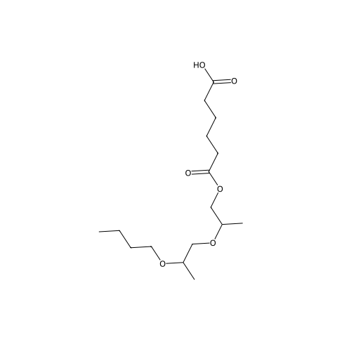 CCCCOC(C)COC(C)COC(=O)CCCCC(=O)O